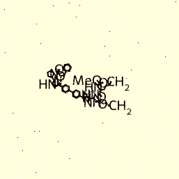 C=CCCC(NC(=O)OC)C(=O)NC(CCOCC=C)c1nc(-c2ccc(-c3ccc(-c4c[nH]c(C5CCCN5C(=O)OCc5ccccc5)n4)cc3)cc2)c[nH]1